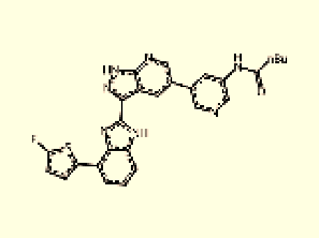 CCCCC(=O)Nc1cncc(-c2cnc3[nH]nc(-c4nc5c(-c6ccc(F)s6)cccc5[nH]4)c3c2)c1